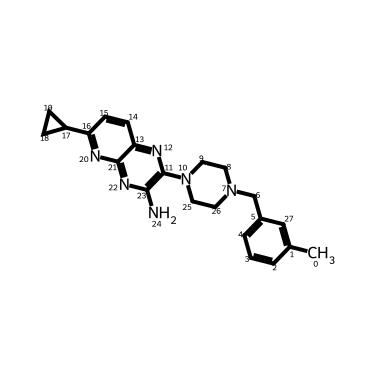 Cc1cccc(CN2CCN(c3nc4ccc(C5CC5)nc4nc3N)CC2)c1